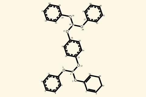 C1=CC(OP(Oc2ccccc2)Oc2ccc(OP(Oc3ccccc3)Oc3ccccc3)cc2)=CCC1